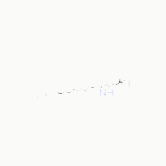 CCCCCCCC/C=C/CCCCCCCCCC(N)CCCC=C(C)C